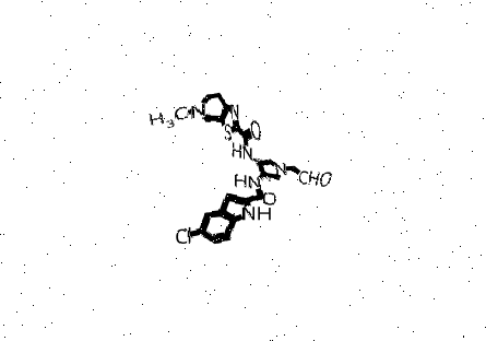 CN1CCc2nc(C(=O)N[C@@H]3CN(CC=O)C[C@H]3NC(=O)c3cc4cc(Cl)ccc4[nH]3)sc2C1